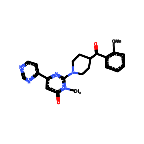 COc1ccccc1C(=O)C1CCN(c2nc(-c3ccncn3)cc(=O)n2C)CC1